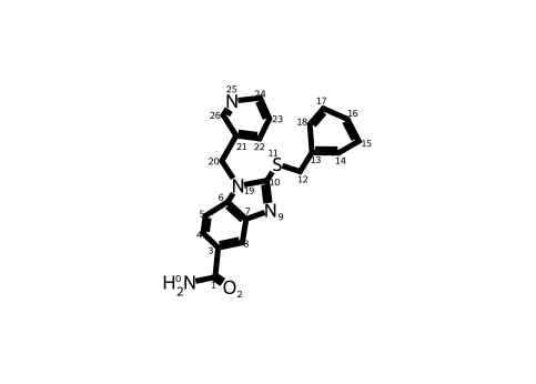 NC(=O)c1ccc2c(c1)nc(SCc1ccccc1)n2Cc1cccnc1